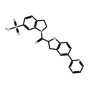 NS(=O)(=O)c1ccc2c(c1)N(C(=O)C1Cc3cc(-c4ccccn4)ccc3O1)CC2